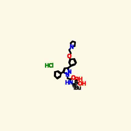 CC[C@@H](C)[C@H](NC(=O)Cn1nc(-c2cccc(OCCN3CCCC3)c2)cc1-c1ccccc1)B(O)O.Cl